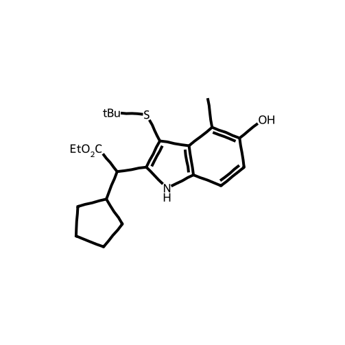 CCOC(=O)C(c1[nH]c2ccc(O)c(C)c2c1SC(C)(C)C)C1CCCC1